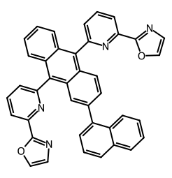 c1cc(-c2ncco2)nc(-c2c3ccccc3c(-c3cccc(-c4ncco4)n3)c3cc(-c4cccc5ccccc45)ccc23)c1